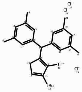 Cc1cc(C)cc(C(C2=[C]([Ti+3])C(C(C)(C)C)=CC2)c2cc(C)cc(C)c2)c1.[Cl-].[Cl-].[Cl-]